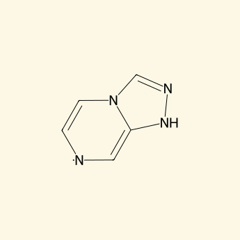 C1=CN2C=NNC2=C[N]1